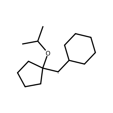 CC(C)OC1([CH]C2CCCCC2)CCCC1